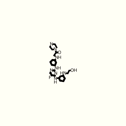 CN1CCN(C(=O)CNc2cccc(Nc3ncc(F)c(Nc4cccc(NCCO)c4)n3)c2)CC1